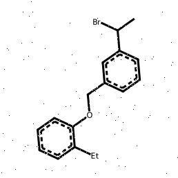 CCc1ccccc1OCc1cccc(C(C)Br)c1